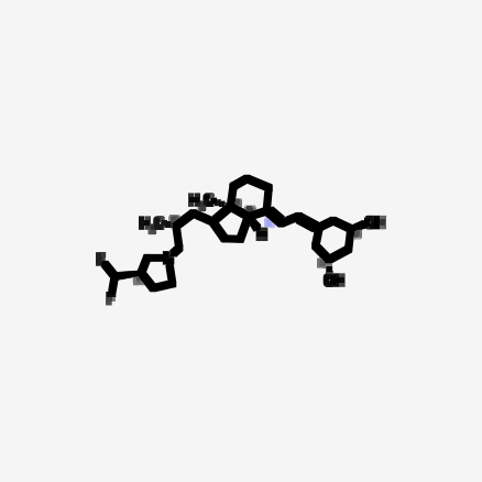 C[C@H](CC1CC[C@H]2/C(=C/C=C3C[C@@H](O)C[C@H](O)C3)CCC[C@]12C)CN1CC[C@@H](C(F)F)C1